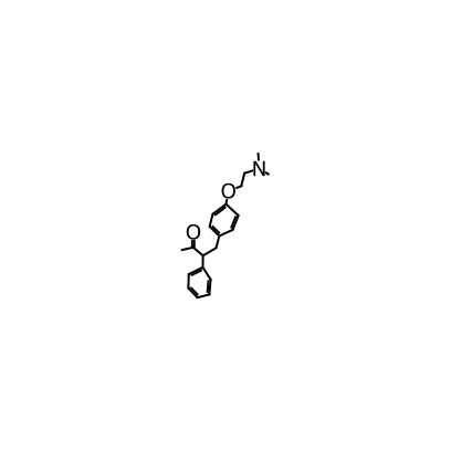 CC(=O)C(Cc1ccc(OCCN(C)C)cc1)c1ccccc1